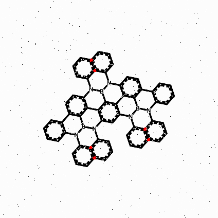 c1ccc(N2B3c4c(ccc5c4-c4c(cc6c7c4B(N5c4ccccc4)N(c4ccccc4)c4ccc5c(c4-7)B(N(c4ccccc4)c4ccccc4-5)N6c4ccccc4)N3c3ccccc3)-c3ccccc32)cc1